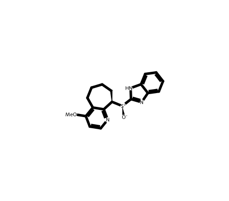 COc1ccnc2c1CCCC[C@H]2[S@+]([O-])c1nc2ccccc2[nH]1